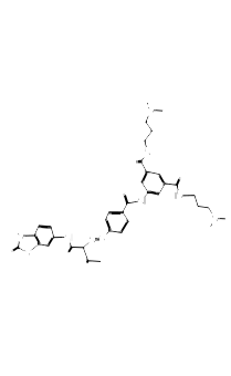 CC(=O)C(N=Nc1ccc(C(=O)Nc2cc(C(=O)NCCCN(C)C)cc(C(=O)NCCCN(C)C)c2)cc1)C(=O)Nc1ccc2[nH]c(=O)[nH]c2c1